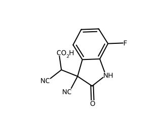 N#CC(C(=O)O)C1(C#N)C(=O)Nc2c(F)cccc21